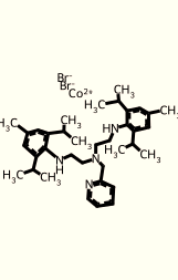 Cc1cc(C(C)C)c(NCCN(CCNc2c(C(C)C)cc(C)cc2C(C)C)Cc2ccccn2)c(C(C)C)c1.[Br-].[Br-].[Co+2]